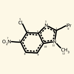 CC(C)c1nc2c(Cl)c([N+](=O)[O-])ccc2n1C